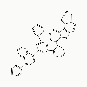 C1=CCC(c2cccc3c2oc2ccc4ccccc4c23)C(c2cc(-c3ccccc3)cc(-c3ccc(-c4ccccc4)c4ccccc34)c2)=C1